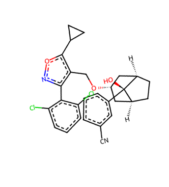 N#Cc1cccc([C@]2(O)[C@@H]3CC[C@H]2C[C@H](OCc2c(-c4c(Cl)cccc4Cl)noc2C2CC2)C3)c1